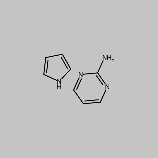 Nc1ncccn1.c1cc[nH]c1